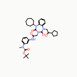 CN(C(=O)OC(C)(C)C)c1cccc(NC(=O)CN2C(=O)N(CC(=O)C3CCCC3)c3ccccc3N(C3CCCCCC3)C2=O)c1